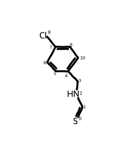 S=[C]NCc1ccc(Cl)cc1